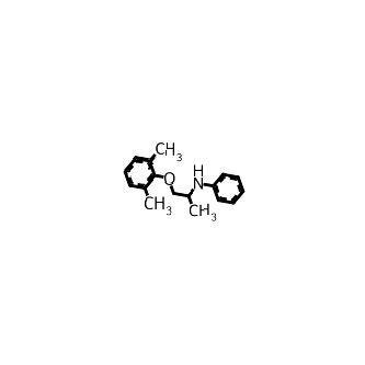 Cc1cccc(C)c1OCC(C)Nc1ccccc1